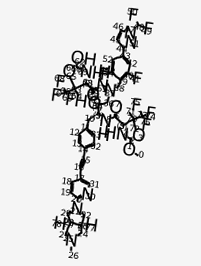 COC(=O)N[C@H](C(=O)N[C@@H](Cc1ccc(C#Cc2ccc(N3C[C@H]4CN(C)C[C@H]4C3)nc2)cc1)[C@@H](O)CN(Cc1c(F)cc(-c2ccn(C(F)F)n2)cc1F)NC(=O)[C@@H](NC(=O)O)C(C)(C)C(F)(F)F)C(C)(C)C(F)(F)F